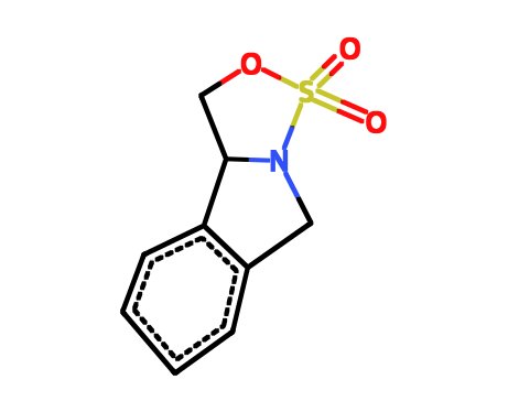 O=S1(=O)OCC2c3ccccc3CN21